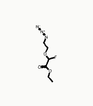 CCOC(=O)C(F)OCCN=[N+]=[N-]